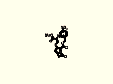 COC(=O)C(CSC1CC2CC(=O)N2C1C(=O)OCc1ccc([N+](=O)[O-])cc1)NC(C)=O